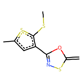 C=C1OC(c2cc(C)sc2SC)=NS1